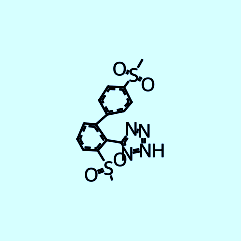 CS(=O)(=O)c1ccc(-c2cccc(S(C)(=O)=O)c2-c2nn[nH]n2)cc1